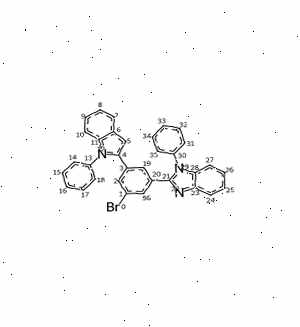 Brc1cc(-c2cc3ccccc3n2-c2ccccc2)cc(-c2nc3ccccc3n2-c2ccccc2)c1